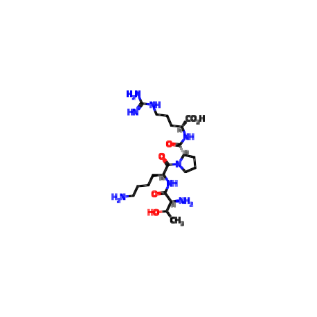 CC(O)[C@H](N)C(=O)N[C@@H](CCCCN)C(=O)N1CCC[C@H]1C(=O)N[C@@H](CCCNC(=N)N)C(=O)O